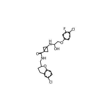 O=C(NCC1CCc2cc(Cl)ccc2O1)C12CC(NC(O)COc3ccc(Cl)c(F)c3)(C1)C2